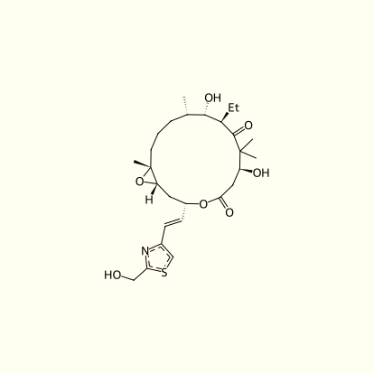 CC[C@H]1C(=O)C(C)(C)[C@@H](O)CC(=O)O[C@H](C=Cc2csc(CO)n2)C[C@@H]2O[C@]2(C)CCC[C@H](C)[C@@H]1O